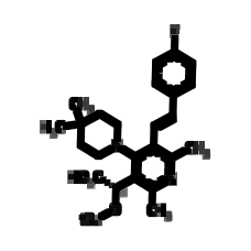 Cc1nc(C)c([C@H](OC(C)(C)C)C(=O)O)c(N2CCC(C)(C)CC2)c1C=Cc1ccc(F)cc1